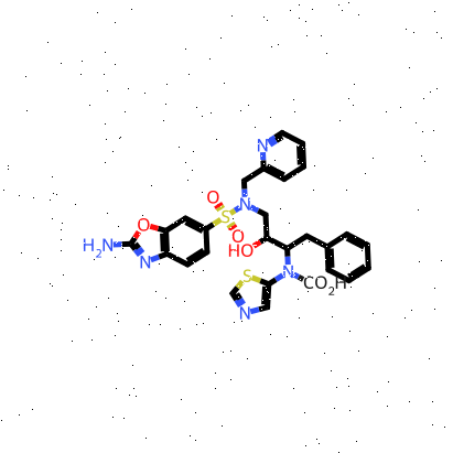 Nc1nc2ccc(S(=O)(=O)N(Cc3ccccn3)CC(O)C(Cc3ccccc3)N(C(=O)O)c3cncs3)cc2o1